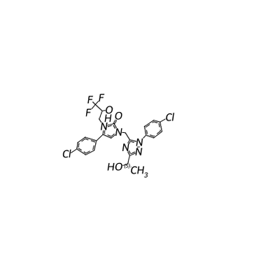 C[C@H](O)c1nc(Cn2cc(-c3ccc(Cl)cc3)n(CC(O)C(F)(F)F)c2=O)n(-c2ccc(Cl)cc2)n1